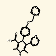 CC1=C(C(=O)O)C(c2ccc(OCc3ccccc3)cc2)C(c2cccnc2)=C(C)N1